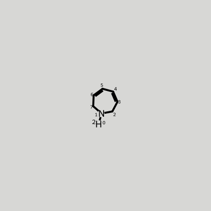 [2H]N1CC=CC=CC1